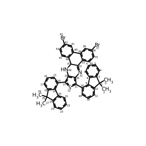 CC1(C)c2ccccc2-c2c(-c3sc(-c4cccc5c4-c4ccccc4C5(C)C)c4c3N=C3c5ccc(Br)cc5-c5cc(Br)ccc5C3N4)cccc21